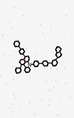 c1ccc(-c2ccc(-c3ccc(N(c4ccc(-c5ccc(-c6cccc(-c7ccc8ccccc8c7)c6)cc5)cc4)c4ccccc4-c4ccccc4-c4ccccc4)cc3)cc2)cc1